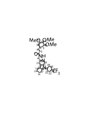 COc1cc(/C=C/C(=O)NCc2cc3c4ccccc4n(-c4ccc(C(F)(F)F)cc4)c3cn2)cc(OC)c1OC